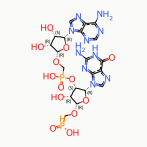 Nc1nc2c(ncn2[C@@H]2O[C@H](OC[PH](=O)O)[C@H](O)[C@@H]2OP(=O)(O)CO[C@H]2O[C@@H](n3cnc4c(N)ncnc43)[C@@H](O)[C@H]2O)c(=O)[nH]1